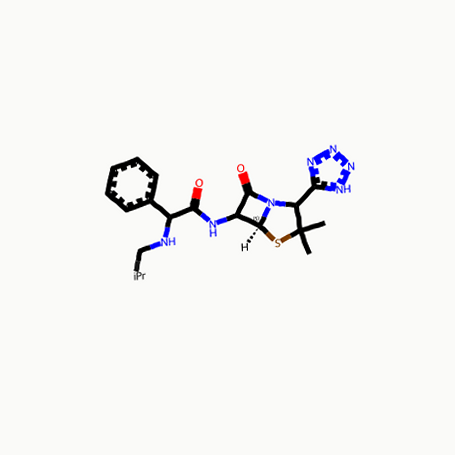 CC(C)CNC(C(=O)NC1C(=O)N2C(c3nnn[nH]3)C(C)(C)S[C@@H]12)c1ccccc1